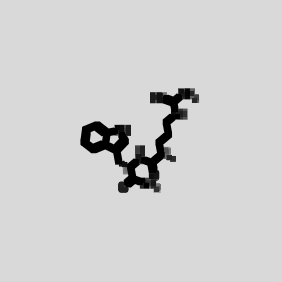 C[C@@H](CCCNC(=N)N)C(=O)N[C@@H](Cc1c[nH]c2ccccc12)C(N)=O